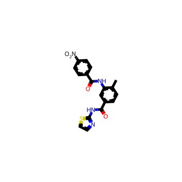 Cc1ccc(C(=O)Nc2nccs2)cc1NC(=O)c1ccc([N+](=O)[O-])cc1